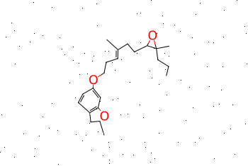 CCCC1(C)OC1CC/C(C)=C/CCOc1ccc2c(c1)OC(C)C2